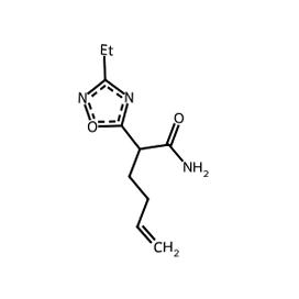 C=CCCC(C(N)=O)c1nc(CC)no1